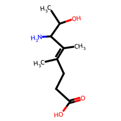 C/C(CCC(=O)O)=C(/C)C(N)C(C)O